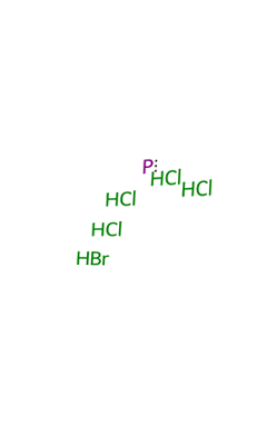 Br.Cl.Cl.Cl.Cl.[P]